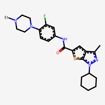 CCN1CCN(c2ccc(NC(=O)c3cc4c(C)nn(C5CCCCC5)c4s3)cc2F)CC1